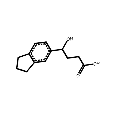 O=C(O)CCC(O)c1ccc2c(c1)CCC2